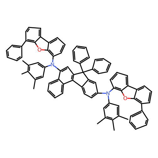 Cc1cc(N(c2ccc3c(c2)C(c2ccccc2)(c2ccccc2)c2cc(N(c4cc(C)c(C)c(C)c4)c4cccc5c4oc4c(-c6ccccc6)cccc45)c4ccccc4c2-3)c2cccc3c2oc2c(-c4ccccc4)cccc23)cc(C)c1C